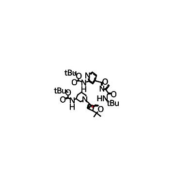 CC(C)(C)NC(=O)c1coc(-c2ccnc(NC(=O)OC(C)(C)C)c2)n1.CC(C)(C)OC(=O)NC1CCCN(c2cc3c4cc2C4C(C)(C)O3)C1